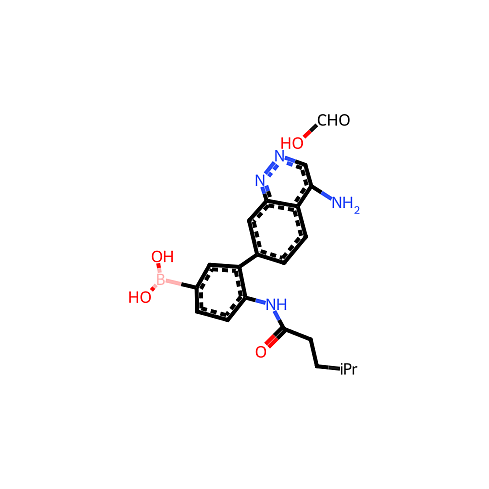 CC(C)CCC(=O)Nc1ccc(B(O)O)cc1-c1ccc2c(N)cnnc2c1.O=CO